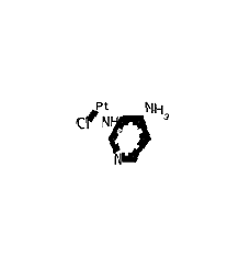 N.N.[Cl][Pt].c1ccncc1